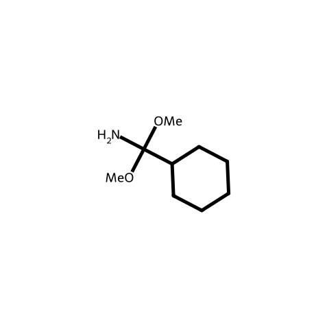 COC(N)(OC)C1CCCCC1